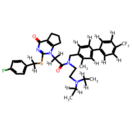 [2H]c1c([2H])c(-c2c([2H])c([2H])c(C(F)(F)F)c([2H])c2[2H])c([2H])c(C)c1CN(CCN(C([2H])([2H])C)C([2H])([2H])C)C(=O)C([2H])([2H])n1c(SC([2H])([2H])c2ccc(F)cc2)nc(=O)c2c1CCC2